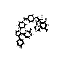 Nc1nccc(-c2c(-c3ccc(F)cc3)ncn2C2CCN(CC3CCN(CC(O)(Cn4cncn4)c4ccc(F)cc4F)CC3)CC2)n1